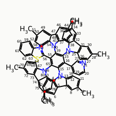 Cc1ccc2c(c1)c1cc(C)ccc1n2-c1c(-c2cccnc2)c(-n2c3ccc(C)cc3c3cc(C)ccc32)c(-n2c3ccc(C)cc3c3cc(C)ccc32)c(-c2nc3ccccc3s2)c1-n1c2ccc(C)cc2c2cc(C)ccc21